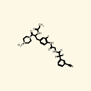 CCC(=O)NC(Cc1ccc(NC(=O)CNC(=O)C(F)(F)c2cccc(C#N)c2)c(F)c1)C(=O)N1CCN(C)CC1